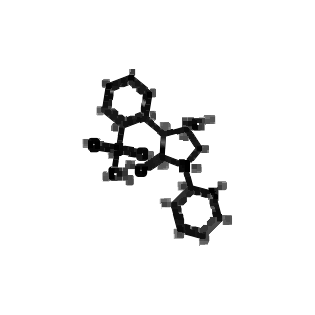 CS(=O)(=O)c1ccccc1C1CCN(c2ccccn2)C1=O.Cl